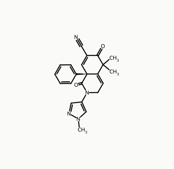 Cn1cc(N2CC=C3C(C)(C)C(=O)C(C#N)=C[C@@]3(c3ccccc3)C2=O)cn1